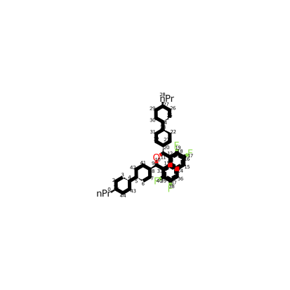 CCC[C@H]1CC[C@H]([C@H]2CC[C@H](C(OC(c3cccc(F)c3F)[C@H]3CC[C@H]([C@H]4CC[C@H](CCC)CC4)CC3)c3cccc(F)c3F)CC2)CC1